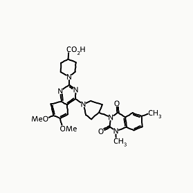 COc1cc2nc(N3CCC(C(=O)O)CC3)nc(N3CCC(n4c(=O)c5cc(C)ccc5n(C)c4=O)CC3)c2cc1OC